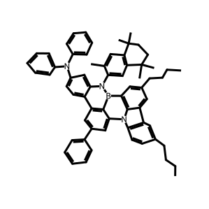 CCCCc1ccc2c(c1)c1cc(CCCC)cc3c1n2-c1cc(-c2ccccc2)cc2c1B3N(c1cc3c(cc1C)C(C)(C)CCC3(C)C)c1cc(N(c3ccccc3)c3ccccc3)ccc1-2